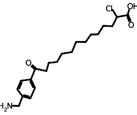 NCc1ccc(C(=O)CCCCCCCCCCCC(Cl)C(=O)O)cc1